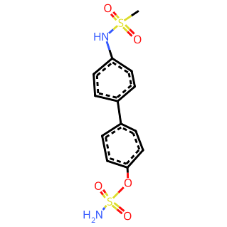 CS(=O)(=O)Nc1ccc(-c2ccc(OS(N)(=O)=O)cc2)cc1